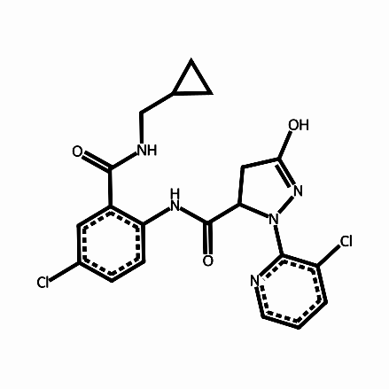 O=C(NCC1CC1)c1cc(Cl)ccc1NC(=O)C1CC(O)=NN1c1ncccc1Cl